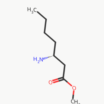 CCCC[C@@H](N)CC(=O)OC